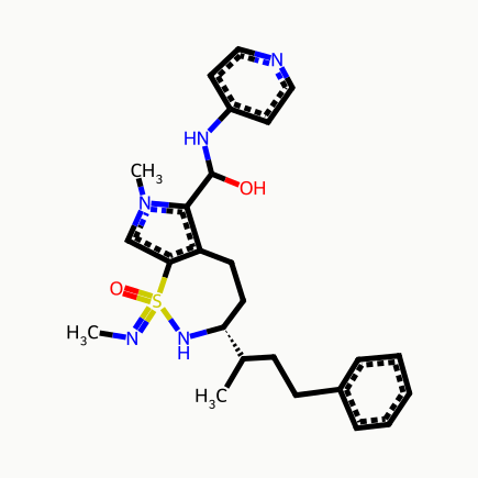 CN=S1(=O)N[C@@H](C(C)CCc2ccccc2)CCc2c1cn(C)c2C(O)Nc1ccncc1